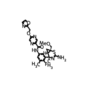 COC[C@]12C[C@H]1[C@@](C)(c1cc(NC(=O)c3cnc(OCc4ncco4)cn3)cc(C)c1F)N=C(N)S2